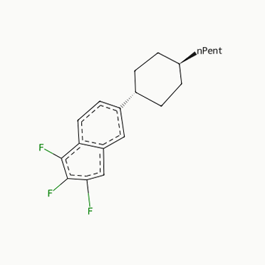 CCCCC[C@H]1CC[C@H](c2ccc3c(F)c(F)c(F)cc3c2)CC1